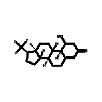 C[C@]12CC[C@H]3[C@@H](CCC4=CC(=O)CC(O)[C@@H]43)[C@@H]1CC[C@H]2C(F)(F)F